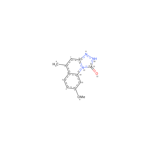 COc1ccc2c(C)cc3n[nH]c(=O)n3c2c1